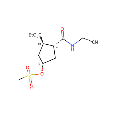 CCOC(=O)[C@@H]1C[C@@H](OS(C)(=O)=O)C[C@H]1C(=O)NCC#N